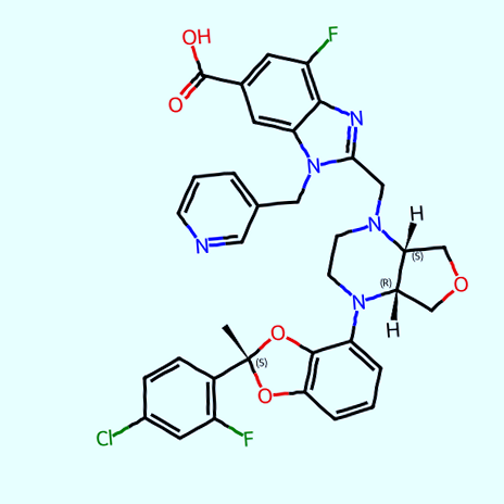 C[C@]1(c2ccc(Cl)cc2F)Oc2cccc(N3CCN(Cc4nc5c(F)cc(C(=O)O)cc5n4Cc4cccnc4)[C@@H]4COC[C@@H]43)c2O1